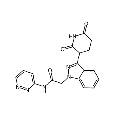 O=C1CCC(c2nn(CC(=O)Nc3cccnn3)c3ccccc23)C(=O)N1